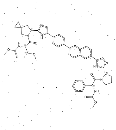 COC(=O)N[C@H](C(=O)N1CC2(CC2)C[C@H]1c1ncc(-c2ccc(-c3ccc4cc(-c5cnc([C@@H]6CCCN6C(=O)[C@H](NC(=O)OC)c6ccccc6)[nH]5)ccc4c3)cc2)[nH]1)[C@@H](C)OC